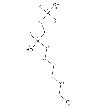 CC(C)(O)CCC(C)(O)CCCCCCO